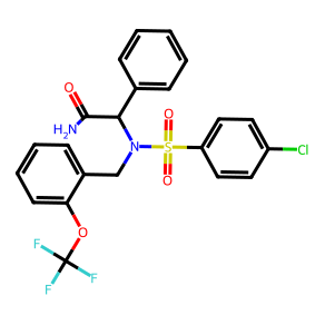 NC(=O)C(c1ccccc1)N(Cc1ccccc1OC(F)(F)F)S(=O)(=O)c1ccc(Cl)cc1